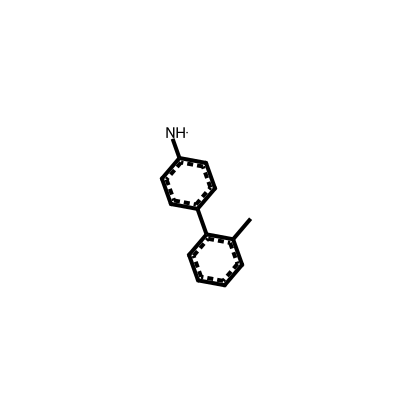 Cc1ccccc1-c1ccc([NH])cc1